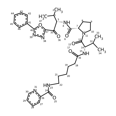 CC(C)[C@H](NC(=O)[C@@H]1CCCN1C(=O)[C@@H](NC(=O)CCCCCNC(=O)c1ccccn1)C(C)C)C(=O)c1nnc(-c2ccccc2)o1